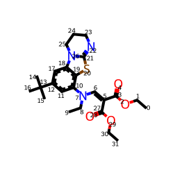 CCOC(=O)C(=CN(CC)c1cc(C(C)(C)C)cc2c1SC1=NCCCN12)C(=O)OCC